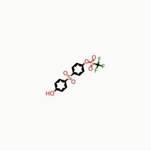 O=S(=O)(c1ccc(O)cc1)c1ccc(OS(=O)(=O)C(F)(F)F)cc1